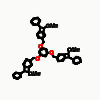 COC1c2cc(COc3cc(OCc4ccc5c(c4)C(OC)C5c4ccccc4)cc(OCc4ccc5c(c4)C(OC)C5c4ccccc4)c3)ccc2C1c1ccccc1